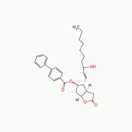 CCCCCCCC(O)/C=C/[C@@H]1[C@H]2CC(=O)O[C@H]2C[C@H]1OC(=O)c1ccc(-c2ccccc2)cc1